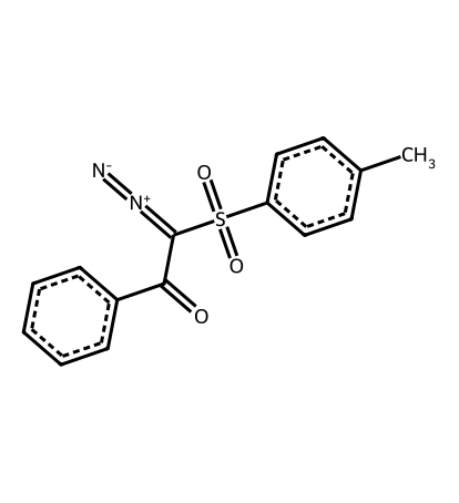 Cc1ccc(S(=O)(=O)C(=[N+]=[N-])C(=O)c2ccccc2)cc1